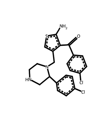 Nc1scc(CN2CCNCC2c2ccc(Cl)cc2)c1C(=O)c1ccc(Cl)cc1